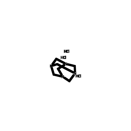 C1N2CN3CN1CN(C2)C3.Cl.Cl.Cl